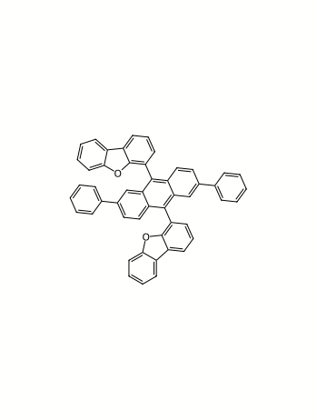 c1ccc(-c2ccc3c(-c4cccc5c4oc4ccccc45)c4cc(-c5ccccc5)ccc4c(-c4cccc5c4oc4ccccc45)c3c2)cc1